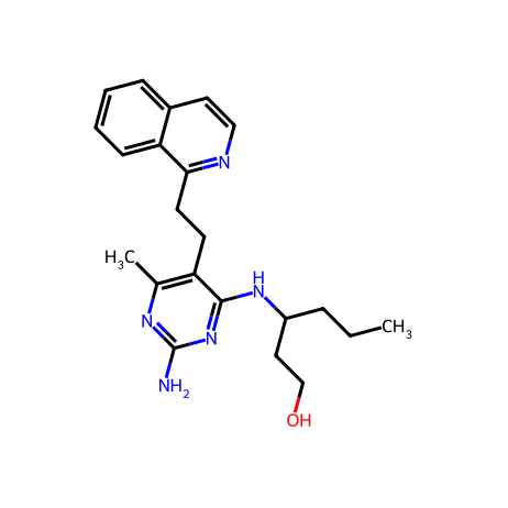 CCCC(CCO)Nc1nc(N)nc(C)c1CCc1nccc2ccccc12